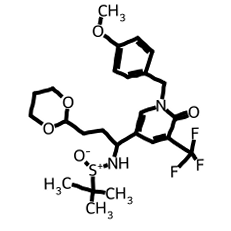 COc1ccc(Cn2cc(C(CCC3OCCCO3)N[S+]([O-])C(C)(C)C)cc(C(F)(F)F)c2=O)cc1